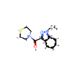 Cn1nc(C(=O)N2CCSCC2)c2ccccc21